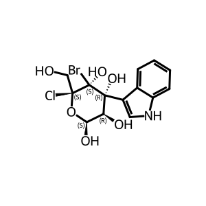 OC[C@@]1(Cl)O[C@H](O)[C@H](O)[C@](O)(c2c[nH]c3ccccc23)[C@]1(O)Br